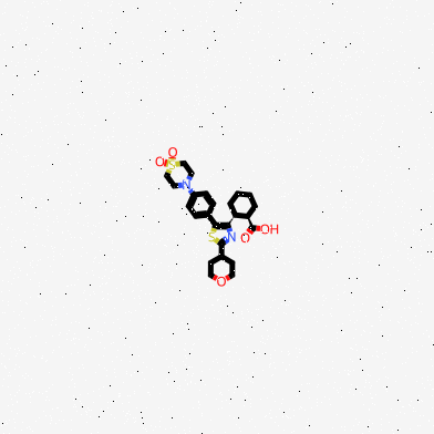 O=C(O)[C@@H]1CCCC[C@H]1c1nc(C2CCOCC2)sc1-c1ccc(N2CCS(=O)(=O)CC2)cc1